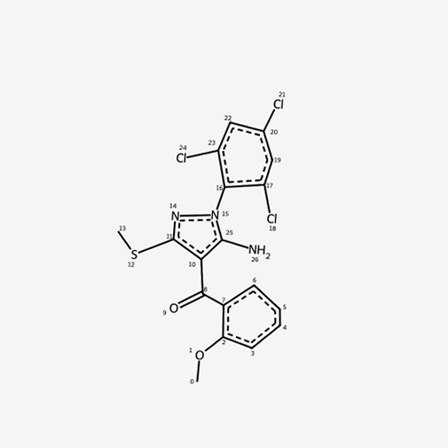 COc1ccccc1C(=O)c1c(SC)nn(-c2c(Cl)cc(Cl)cc2Cl)c1N